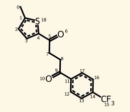 Cc1ccc(C(=O)CCC(=O)c2ccc(C(F)(F)F)cc2)s1